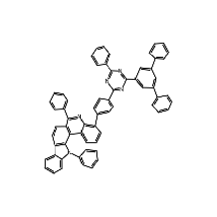 c1ccc(-c2cc(-c3ccccc3)cc(-c3nc(-c4ccccc4)nc(-c4ccc(-c5cccc6c5nc(-c5ccccc5)c5ccc7c8ccccc8n(-c8ccccc8)c7c56)cc4)n3)c2)cc1